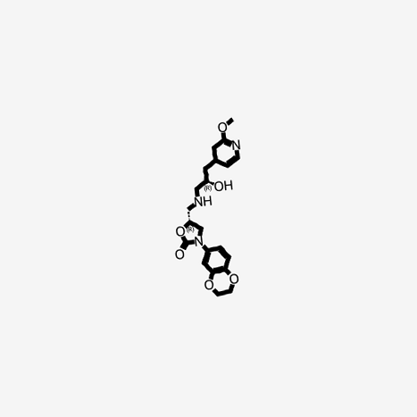 COC1=NC=CC(C[C@@H](O)CNC[C@@H]2CN(c3ccc4c(c3)OCCO4)C(=O)O2)C1